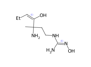 CC/C=C(/O)C(C)(N)CCN/C(N)=N/O